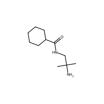 CC(C)(N)CNC(=O)C1CCCCC1